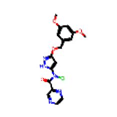 COc1cc(COc2cc(N(Cl)C(=O)c3cnccn3)[nH]n2)cc(OC)c1